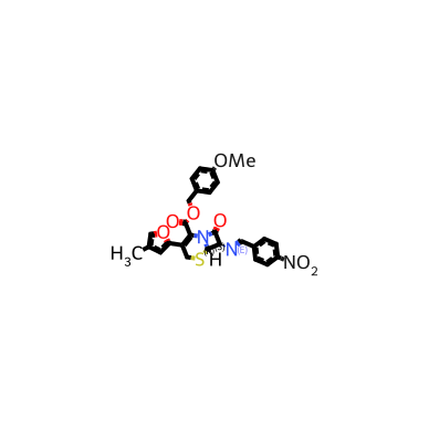 COc1ccc(COC(=O)C2=C(c3cc(C)co3)CS[C@@H]3[C@@H](/N=C/c4ccc([N+](=O)[O-])cc4)C(=O)N23)cc1